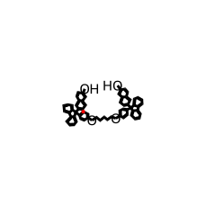 Oc1ccc2cc(C3(c4ccc(OCCCCCOc5ccc(C6(c7ccc8cc(O)ccc8c7)c7ccccc7-c7ccccc76)cc5)cc4)c4ccccc4-c4ccccc43)ccc2c1